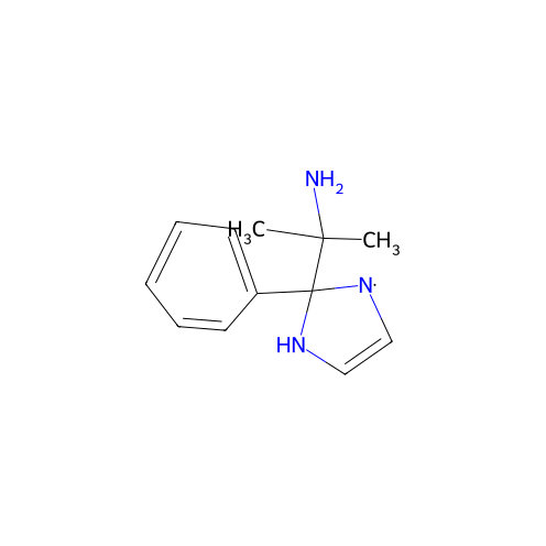 CC(C)(N)C1(c2ccccc2)[N]C=CN1